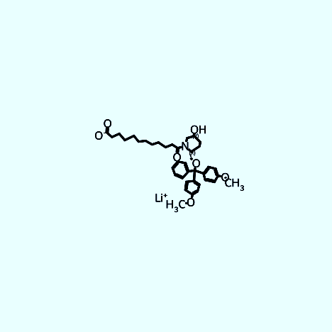 COc1ccc(C(OC[C@H]2CC[C@@H](O)CN2C(=O)CCCCCCCCCCC(=O)[O-])(c2ccccc2)c2ccc(OC)cc2)cc1.[Li+]